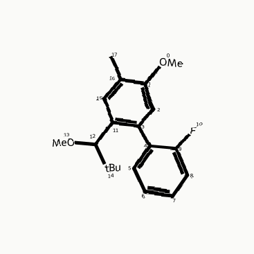 COc1cc(-c2ccccc2F)c(C(OC)C(C)(C)C)cc1C